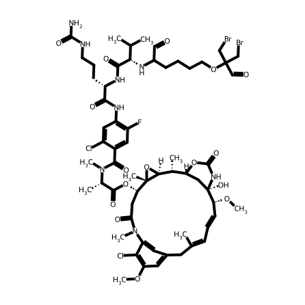 COc1cc2cc(c1Cl)N(C)C(=O)C[C@H](OC(=O)[C@H](C)N(C)C(=O)c1cc(F)c(NC(=O)[C@H](CCCNC(N)=O)NC(=O)[C@@H](NC(C=O)CCCCOC(C=O)(CBr)CBr)C(C)C)cc1Cl)[C@]1(C)O[C@H]1[C@H](C)[C@@H]1C[C@@](O)(NC(=O)O1)[C@H](OC)/C=C/C=C(\C)C2